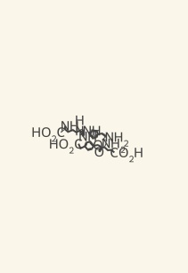 N=C(N)NCCC[C@H](N)C(=O)O.NCCc1ccccc1.N[C@@H](CCC(=O)O)C(=O)Oc1ccc(CC(=O)O)cc1